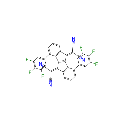 N#CC(C#N)=C1C2=C(C(=C(C#N)C#N)c3cccc(-c4cc(F)c(F)c(F)c4)c32)c2c1cccc2-c1cc(F)c(F)c(F)c1